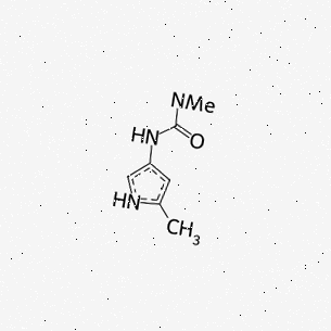 CNC(=O)Nc1c[nH]c(C)c1